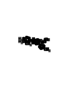 C[C@H]1CC[C@H](c2ccc3nn([C@@H]4CCN(C)C(C)(C)C4)cc3c2)N(C(=O)OC(C)(C)C)C1